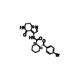 O=C1NCCn2ncc(NC(=O)[C@@H]3CCCC[C@H]3C(=O)c3ccc(Br)cc3)c21